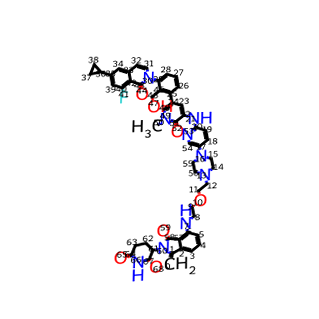 C=C1c2cccc(NCCOCCN3CCN(c4ccc(Nc5cc(-c6cccc(-n7ccc8cc(C9CC9)cc(F)c8c7=O)c6CO)cn(C)c5=O)nc4)CC3)c2C(=O)N1C1CCC(=O)NC1=O